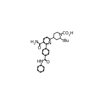 CC(C)(C)C1CC(c2ccc(C(N)=O)c(-c3ccc(C(=O)Nc4ccccc4)cc3)n2)CCN1C(=O)O